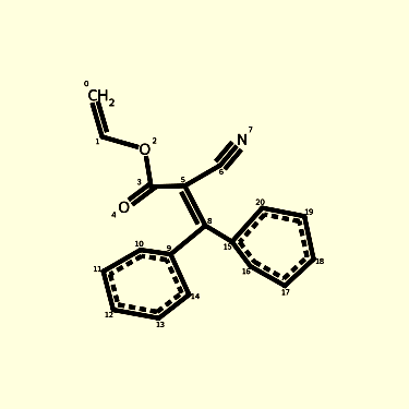 C=COC(=O)C(C#N)=C(c1ccccc1)c1ccccc1